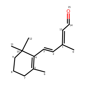 CC(C=CC1=C(C)CCCC1(C)C)=CC=O